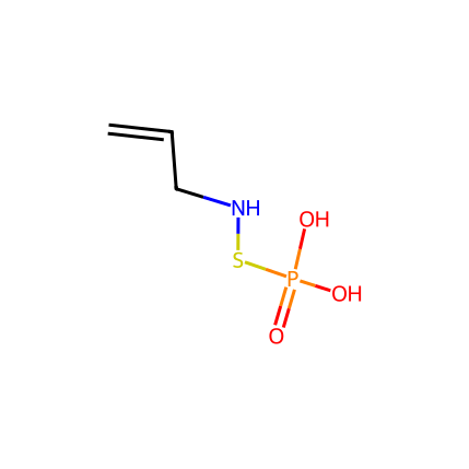 C=CCNSP(=O)(O)O